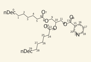 CCCCCCCCCCCCCCCC(=O)OCC(COC(=O)c1cccnc1)OC(=O)CCCCCCCCCCCCCCC